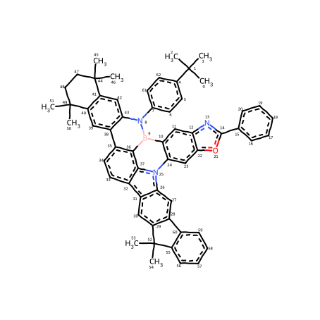 CC(C)(C)c1ccc(N2B3c4cc5nc(-c6ccccc6)oc5cc4-n4c5cc6c(cc5c5ccc(c3c54)-c3cc4c(cc32)C(C)(C)CCC4(C)C)C(C)(C)c2ccccc2-6)cc1